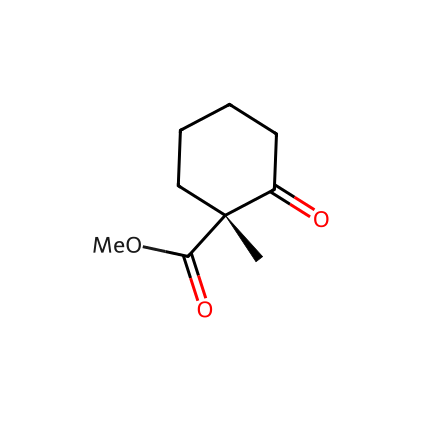 COC(=O)[C@]1(C)CCCCC1=O